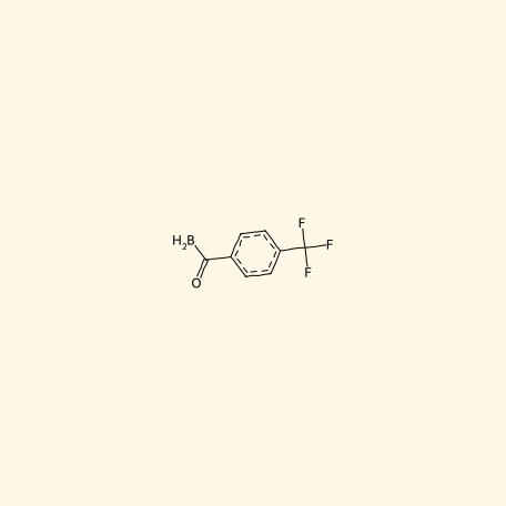 BC(=O)c1ccc(C(F)(F)F)cc1